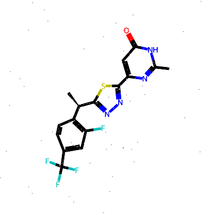 Cc1nc(-c2nnc([C@H](C)c3ccc(C(F)(F)F)cc3F)s2)cc(=O)[nH]1